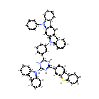 c1ccc(-n2c3ccccc3c3cc4c5ccccc5n(-c5cccc(-c6nc(-c7ccc8c(c7)sc7ccccc78)nc(-n7c8ccccc8c8ccccc87)n6)c5)c4cc32)cc1